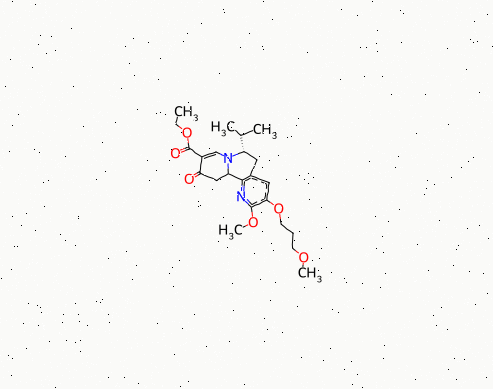 CCOC(=O)C1=CN2C(CC1=O)c1nc(OC)c(OCCCOC)cc1C[C@H]2C(C)C